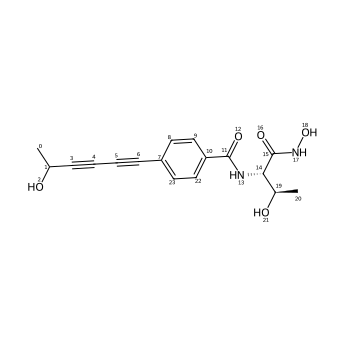 CC(O)C#CC#Cc1ccc(C(=O)N[C@H](C(=O)NO)[C@@H](C)O)cc1